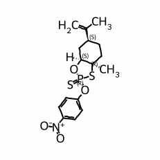 C=C(C)[C@H]1CC[C@@]2(C)S[P@@](=S)(Oc3ccc([N+](=O)[O-])cc3)O[C@H]2C1